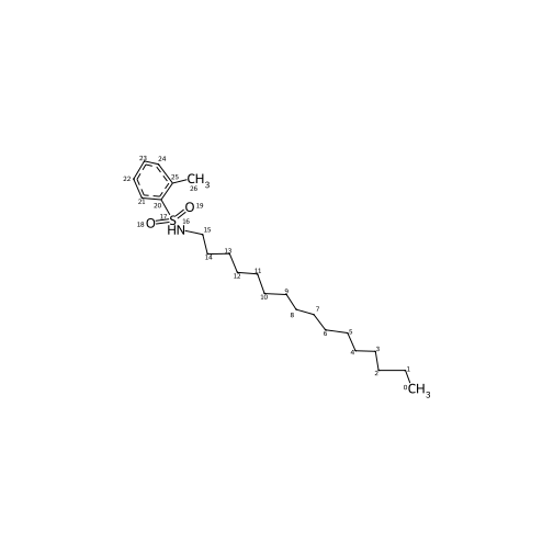 CCCCCCCCCCCCCCCCNS(=O)(=O)c1ccccc1C